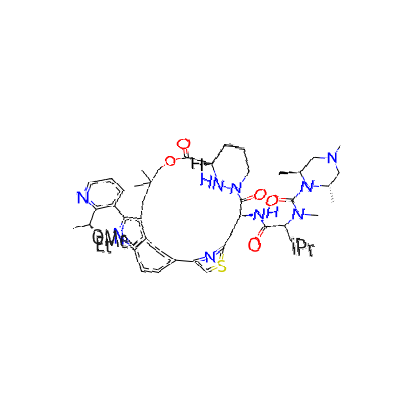 CCn1c(-c2cccnc2[C@H](C)OC)c2c3cc(ccc31)-c1csc(n1)C[C@H](NC(=O)C(C(C)C)N(C)C(=O)N1[C@@H](C)CN(C)C[C@@H]1C)C(=O)N1CCC[C@H](N1)C(=O)OCC(C)(C)C2